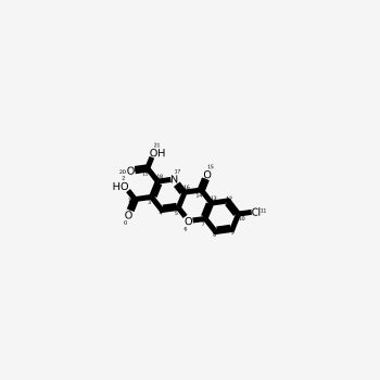 O=C(O)c1cc2oc3ccc(Cl)cc3c(=O)c2nc1C(=O)O